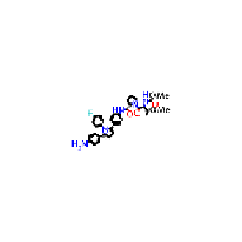 COC(=O)NC(C(=O)N1CCC[C@H]1C(=O)Nc1ccc([C@H]2CC[C@H](c3ccc(N)cc3)N2c2ccc(F)cc2)cc1)[C@@H](C)OC